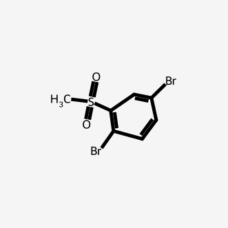 CS(=O)(=O)c1cc(Br)ccc1Br